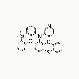 C[Si]1(C)c2ccccc2Oc2c(N(c3cccnc3)c3cccc4c3Oc3ccccc3S4)cccc21